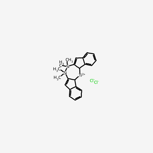 C[Si]1(C)C2=Cc3ccccc3[CH]2[Ti+2][CH]2C(=Cc3ccccc32)[Si]1(C)C.[Cl-].[Cl-]